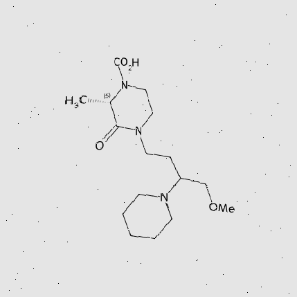 COCC(CCN1CCN(C(=O)O)[C@@H](C)C1=O)N1CCCCC1